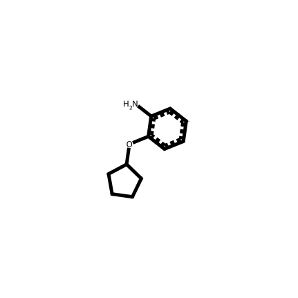 Nc1c[c]ccc1OC1CCCC1